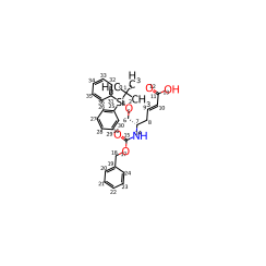 CC(C)(C)[Si](OC[C@H](CC=CC(=O)O)NC(=O)OCc1ccccc1)(c1ccccc1)c1ccccc1